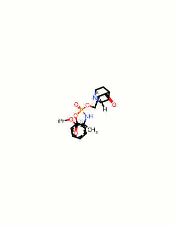 CC(C)OC(=O)[C@H](C)NP(=O)(OC[C@H]1C(=O)C2CCN1CC2)Oc1ccccc1